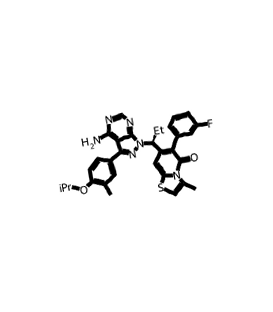 CC[C@@H](c1cc2scc(C)n2c(=O)c1-c1cccc(F)c1)n1nc(-c2ccc(OC(C)C)c(C)c2)c2c(N)ncnc21